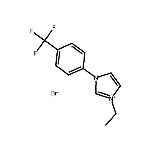 CC[n+]1ccn(-c2ccc(C(F)(F)F)cc2)c1.[Br-]